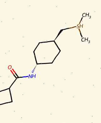 C[SH](C)C[C@H]1CC[C@H](NC(=O)C2CCC2)CC1